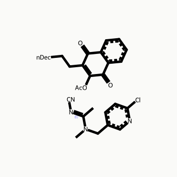 C/C(=N\C#N)N(C)Cc1ccc(Cl)nc1.CCCCCCCCCCCCC1=C(OC(C)=O)C(=O)c2ccccc2C1=O